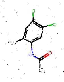 Cc1cc(Cl)c(Cl)cc1NC(=O)C(F)(F)F